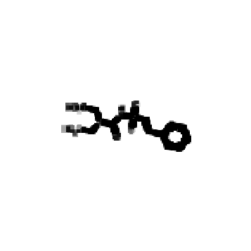 O=C(O)CN(CC(=O)O)C(=O)NS(=O)(=O)/C=C/c1ccccc1